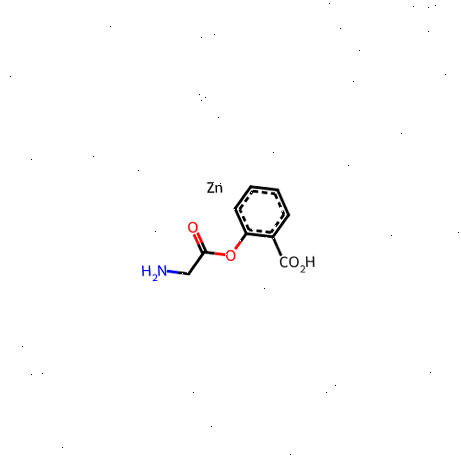 NCC(=O)Oc1ccccc1C(=O)O.[Zn]